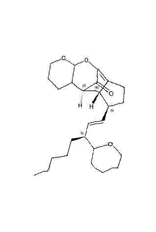 CCCCC[C@@H](C=C[C@@H]1CCC2=C3OC4OCCCC4[C@@H](C3=O)[C@H]21)C1CCCCO1